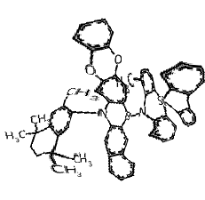 Cc1cc2c(cc1N1c3cc4c(cc3B(N3c5ccccc5[Si]5(c6ccccc6-c6ccccc65)c5cccc(C)c53)c3cc5ccccc5cc31)Oc1ccccc1O4)C(C)(C)CCC2(C)C